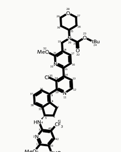 COc1nc(N[C@H]2CCc3c(-c4nccc(-c5ccc(CN(C(=O)OC(C)(C)C)C6CCOCC6)c(OC)n5)c4Cl)cccc32)c(C(F)(F)F)cc1C=O